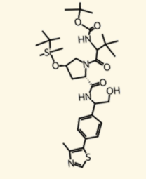 Cc1ncsc1-c1ccc(C(CO)NC(=O)[C@@H]2C[C@@H](O[Si](C)(C)C(C)(C)C)CN2C(=O)C(NC(=O)OC(C)(C)C)C(C)(C)C)cc1